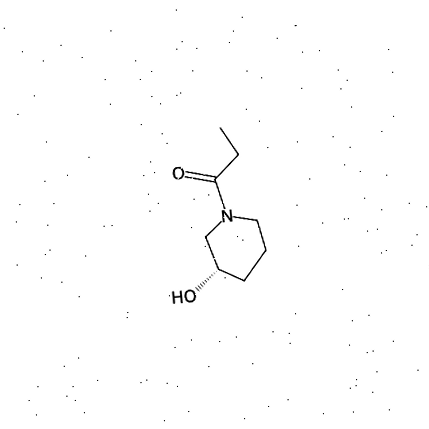 CCC(=O)N1CCC[C@H](O)C1